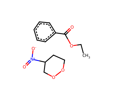 CCOC(=O)c1ccccc1.O=[N+]([O-])C1CCOOC1